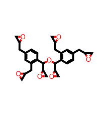 c1cc(C(OC(c2ccc(CC3CO3)cc2CC2CO2)C2CO2)C2CO2)c(CC2CO2)cc1CC1CO1